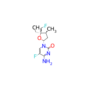 CC[C@@]1(CF)O[C@@H](n2cc(F)c(N)nc2=O)C[C@@H]1C